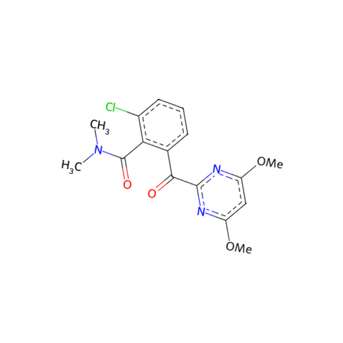 COc1cc(OC)nc(C(=O)c2cccc(Cl)c2C(=O)N(C)C)n1